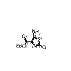 CCOC(=O)c1nc(Cl)sc1N